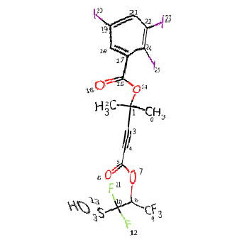 CC(C)(C#CC(=O)OC(C(F)(F)F)C(F)(F)S(=O)(=O)O)OC(=O)c1cc(I)cc(I)c1I